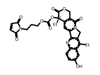 CCc1c2c(nc3ccc(O)cc13)-c1cc3c(c(=O)n1C2)COC(=O)[C@@]3(CC)OC(=O)OCCCN1C(=O)C=CC1=O